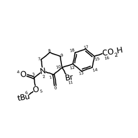 C=C1N(C(=O)OC(C)(C)C)CCCC1(Br)c1ccc(C(=O)O)cc1